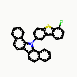 Clc1cccc2c1sc1ccc(-n3c4c5ccccc5ccc4c4ccc5ccccc5c43)cc12